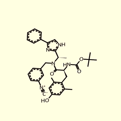 [C-]#[N+]c1cccc(CN(C(=O)[C@H](Cc2c(C)cc(O)cc2C)NC(=O)OC(C)(C)C)[C@@H](C)c2nc(-c3ccccc3)c[nH]2)c1